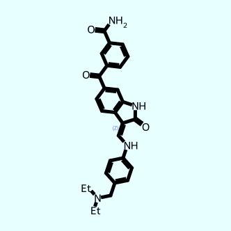 CCN(CC)Cc1ccc(N/C=C2\C(=O)Nc3cc(C(=O)c4cccc(C(N)=O)c4)ccc32)cc1